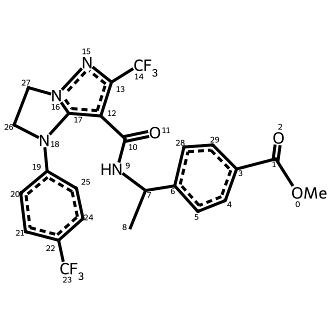 COC(=O)c1ccc(C(C)NC(=O)c2c(C(F)(F)F)nn3c2N(c2ccc(C(F)(F)F)cc2)CC3)cc1